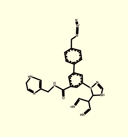 [N-]=[N+]=NCc1ccc(-c2cc(C(=O)NCC3=CNCC=N3)cc(N3N=CNC3C(C=N)C=N)c2)cc1